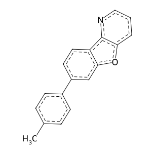 Cc1ccc(-c2ccc3c(c2)oc2cccnc23)cc1